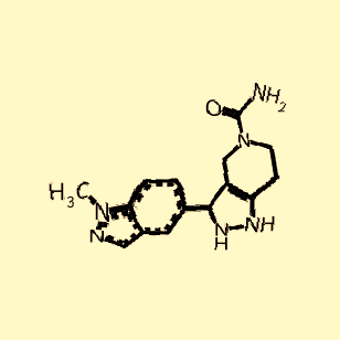 Cn1ncc2cc(C3NNC4=C3CN(C(N)=O)CC4)ccc21